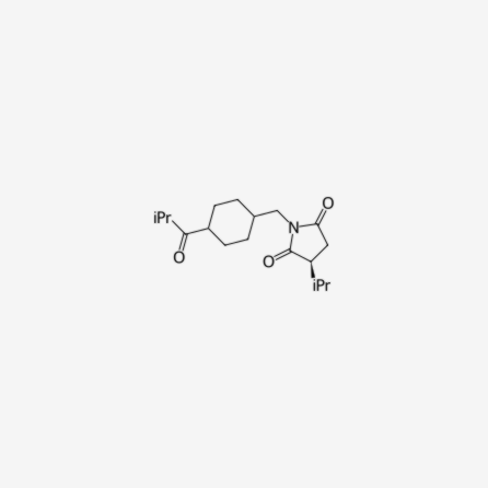 CC(C)C(=O)C1CCC(CN2C(=O)C[C@@H](C(C)C)C2=O)CC1